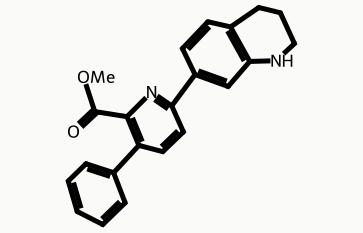 COC(=O)c1nc(-c2ccc3c(c2)NCCC3)ccc1-c1ccccc1